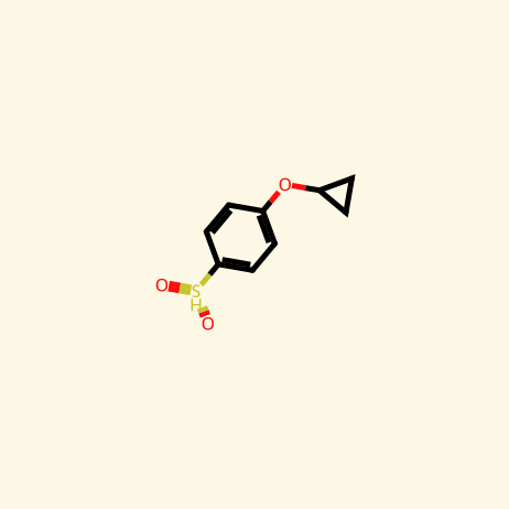 O=[SH](=O)c1ccc(OC2CC2)cc1